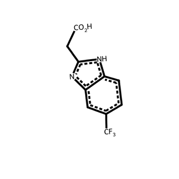 O=C(O)Cc1nc2cc(C(F)(F)F)ccc2[nH]1